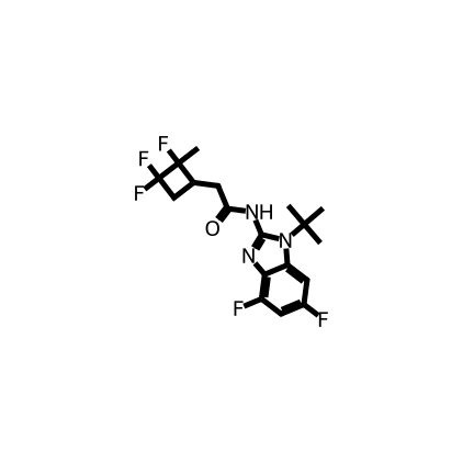 CC(C)(C)n1c(NC(=O)CC2CC(F)(F)C2(C)F)nc2c(F)cc(F)cc21